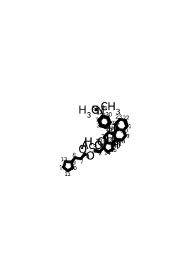 CC(=O)O[C@]1(C=COC(=O)CCC2CCCC2)CC[C@H]2[C@@H]3CCC4C=CCC[C@@H]4[C@H]3[C@@H](c3ccc(N(C)C)cc3)C[C@@]21C